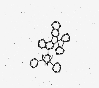 c1ccc(-c2nc(-c3ccccc3)nc(-c3cc4c(c5ccccc35)-c3cc5ccccc5cc3C43c4ccccc4-c4ccccc43)n2)cc1